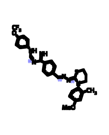 COc1ccc(N2CCCS/C2=N\N=C\c2ccc(C(=N)/N=C\Nc3ccc(OC(F)(F)F)cc3)cc2)c(C)c1